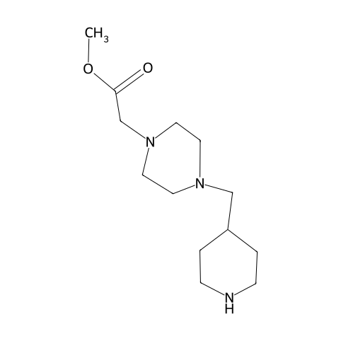 COC(=O)CN1CCN(CC2CCNCC2)CC1